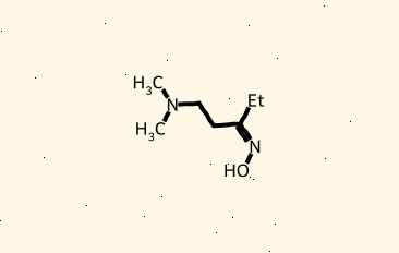 CC/C(CCN(C)C)=N/O